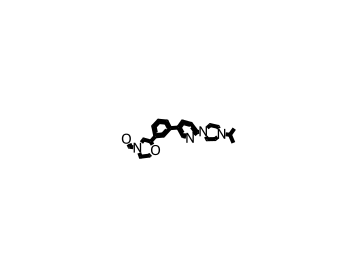 CC(C)N1CCN(c2ccc(-c3cccc(C4CN(C=O)CCO4)c3)cn2)CC1